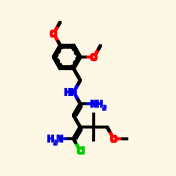 COCC(C)(C)C(/C=C(\N)NCc1ccc(OC)cc1OC)=C(/N)Cl